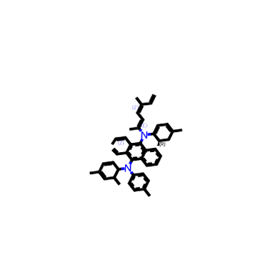 C=C/C(C)=C\C=C(/C)N(C1=CC=C(C)C[C@H]1C)c1c(/C=C\C)c(C=C)c(N(c2ccc(C)cc2)C2C=CC(C)=CC2C)c2ccccc12